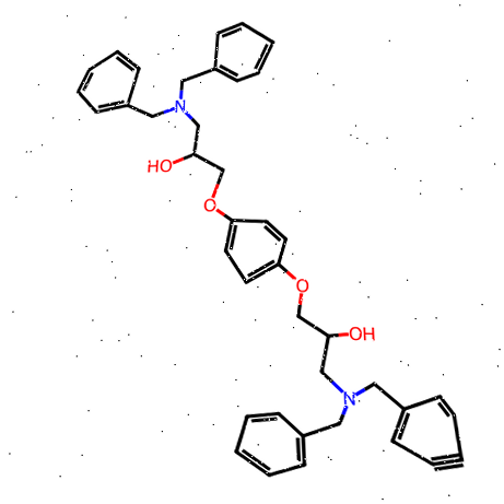 OC(COc1ccc(OCC(O)CN(Cc2ccccc2)Cc2ccccc2)cc1)CN(Cc1cc#ccc1)Cc1ccccc1